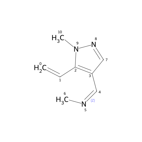 C=Cc1c(/C=N\C)cnn1C